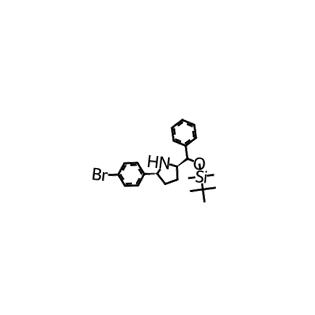 CC(C)(C)[Si](C)(C)OC(c1ccccc1)[C@H]1CC[C@@H](c2ccc(Br)cc2)N1